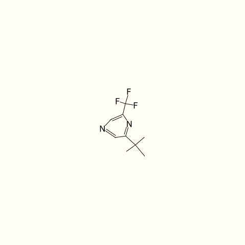 CC(C)(C)c1cncc(C(F)(F)F)n1